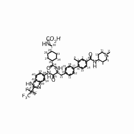 Cc1cc(C(=O)NC2CCN(C)CC2)ccc1-c1ccc(C[C@H](NC(=O)[C@H]2CC[C@H](CNC(=O)O)CC2)C(=O)Nc2ccc3[nH]c(C(F)(F)C(F)(F)F)nc3c2)cc1